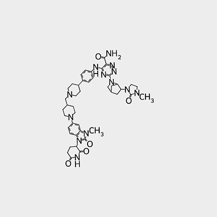 CN1CCN(C2CC3CC2N(c2nnc(C(N)=O)c(Nc4ccc(C5CCN(CC6CCN(c7ccc8c(c7)n(C)c(=O)n8C7CCC(=O)NC7=O)CC6)CC5)cc4)n2)C3)C1=O